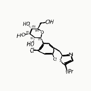 CCCc1cnc(Cc2cc([C@@H]3O[C@H](CO)[C@@H](O)[C@H](O)[C@H]3O)c(Cl)cc2Cl)s1